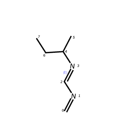 C=N/C=N/C(C)CC